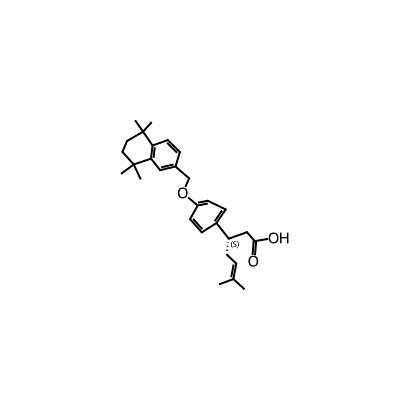 CC(C)=CC[C@@H](CC(=O)O)c1ccc(OCc2ccc3c(c2)C(C)(C)CCC3(C)C)cc1